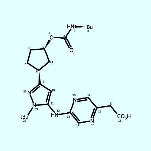 CC[C@H](C)NC(=O)O[C@@H]1CC[C@H](c2cc(Nc3cnc(CC(=O)O)cn3)n(C(C)(C)C)n2)C1